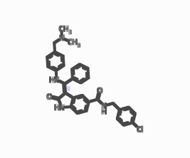 CN(C)Cc1ccc(N/C(=C2\C(=O)Nc3ccc(C(=O)NCc4ccc(Cl)cc4)cc32)c2ccccc2)cc1